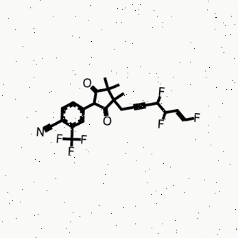 CC1(C)C(=O)C(c2ccc(C#N)c(C(F)(F)F)c2)C(=O)C1(C)CC#CC(F)C(F)C=CF